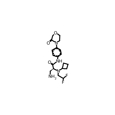 NC[C@@H](C(=O)Nc1ccc(N2CCOCC2=O)cc1)N(CC(F)F)C1CCC1